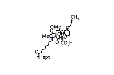 CC#CCOc1ccc(C[C@H](NC(=O)[C@@H](/C=C/CCCCCCC(=O)CCCCCCC)[C@@](O)(CC(=O)OC)C(=O)OC)C(=O)O)cc1